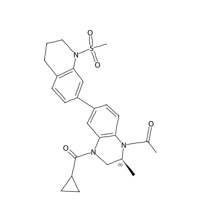 CC(=O)N1c2ccc(-c3ccc4c(c3)N(S(C)(=O)=O)CCC4)cc2N(C(=O)C2CC2)C[C@@H]1C